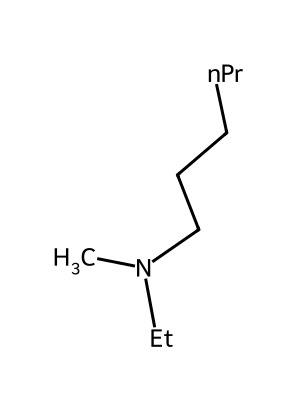 CCCCCCN(C)CC